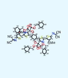 COc1cc(N=C(C#N)C#N)sc1-c1nc2c(s1)-c1cc3c(cc1OC2(C(=O)OCc1ccccc1)C(=O)OCc1ccccc1)-c1sc(-c2sc(N=C(C#N)C#N)cc2OC)nc1C(C(=O)OCc1ccccc1)(C(=O)OCc1ccccc1)O3